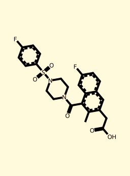 Cc1c(CC(=O)O)cc2ccc(F)cc2c1C(=O)N1CCN(S(=O)(=O)c2ccc(F)cc2)CC1